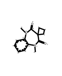 CN1C(=O)C2(CCC2)C(=O)N(C)c2ccccc21